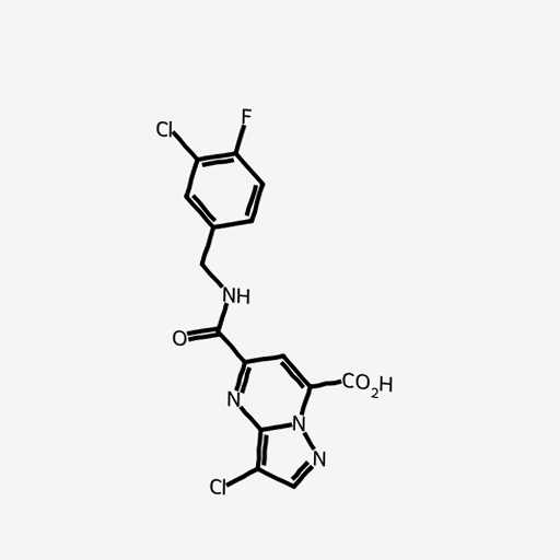 O=C(NCc1ccc(F)c(Cl)c1)c1cc(C(=O)O)n2ncc(Cl)c2n1